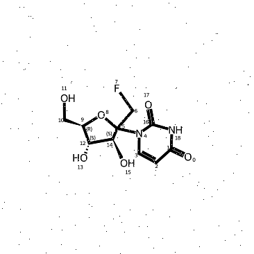 O=c1ccn(C2(CF)O[C@H](CO)[C@@H](O)[C@@H]2O)c(=O)[nH]1